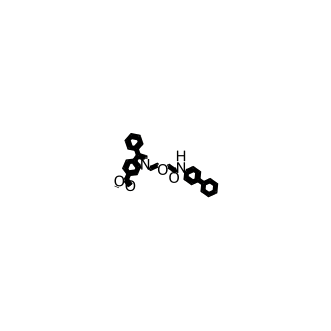 COC(=O)c1ccc2c(-c3ccccc3)cn(CCOCC(=O)Nc3ccc(C4CCCCC4)cc3)c2c1